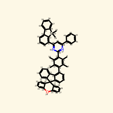 Cc1c(C)c(-c2cccc3c2-c2ccccc2C32c3ccccc3Oc3ccccc32)c(C)c(C)c1-c1nc(-c2ccccc2)cc(-c2cccc3c2[Si](C)(C)c2ccccc2-3)n1